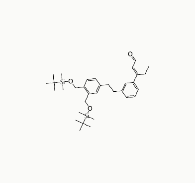 CCC(=CC=O)c1cccc(CCc2ccc(CO[Si](C)(C)C(C)(C)C)c(CO[Si](C)(C)C(C)(C)C)c2)c1